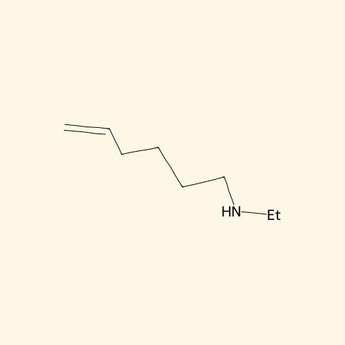 C=CCCCCNCC